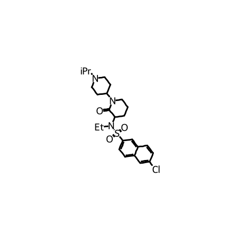 CCN(C1CCCN(C2CCN(C(C)C)CC2)C1=O)S(=O)(=O)c1ccc2cc(Cl)ccc2c1